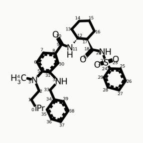 CC(C)CCN(C)c1ccc(C(=O)N[C@@H]2CCCC[C@H]2C(=O)NS(=O)(=O)c2ccccc2)cc1NCc1ccccc1